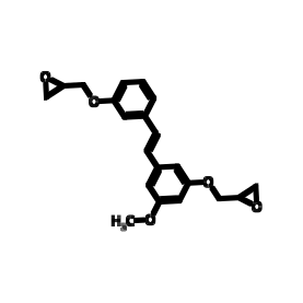 COc1cc(/C=C/c2cccc(OCC3CO3)c2)cc(OCC2CO2)c1